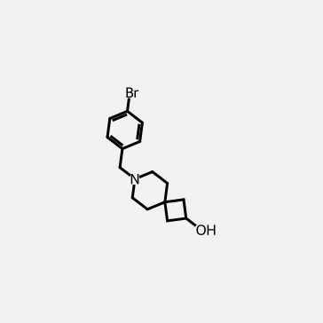 OC1CC2(CCN(Cc3ccc(Br)cc3)CC2)C1